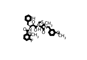 COc1cccc(CN2C(=O)[C@H]3N(C(=O)[C@@H](O)[C@H](Cc4ccccc4)NC(=O)c4cccc(F)c4C)CSC32C)c1